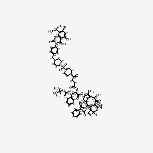 CC(=O)O[C@@]12CO[C@@H]1C[C@H](O)[C@@]1(C)C(=O)[C@H](O)C3=C(C)[C@@H](OC(=O)[C@H](OC(=O)CCC(=O)N4CCN(S(=O)(=O)N5CCN(Cc6ccc(N(C(=N)c7cc(C(C)C)c(O)cc7O)C(N)=O)cc6)CC5)CC4)[C@@H](NC(=O)OC(C)(C)C)c4ccccc4)C[C@](O)(C3)[C@@H](OC(=O)c3ccccc3)[C@H]21